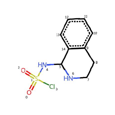 O=S(=O)(Cl)NC1NCCc2ccccc21